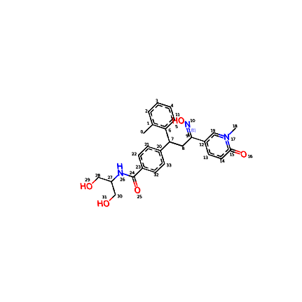 Cc1ccccc1C(C/C(=N\O)c1ccc(=O)n(C)c1)c1ccc(C(=O)NC(CO)CO)cc1